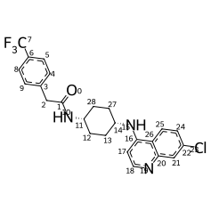 O=C(Cc1ccc(C(F)(F)F)cc1)N[C@H]1CC[C@@H](Nc2ccnc3cc(Cl)ccc23)CC1